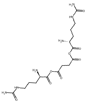 NC(=O)NCCC[C@@H](N)C(=O)OC(=O)CCC(=O)OC(=O)[C@H](N)CCCNC(N)=O